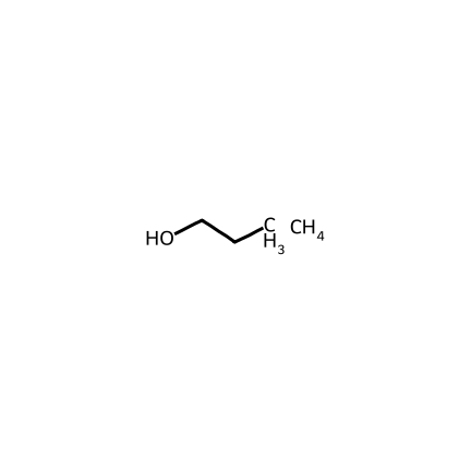 C.CCCO